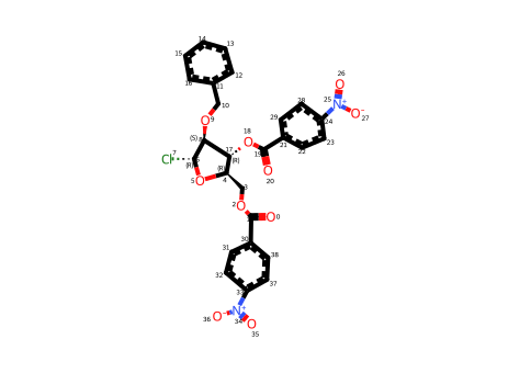 O=C(OC[C@H]1O[C@H](Cl)[C@@H](OCc2ccccc2)[C@@H]1OC(=O)c1ccc([N+](=O)[O-])cc1)c1ccc([N+](=O)[O-])cc1